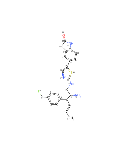 C/C=C/[C@@H](c1ccc(CF)cc1)[C@H](N)CNc1ncc(-c2ccc3c(c2)CC(=O)N3)s1